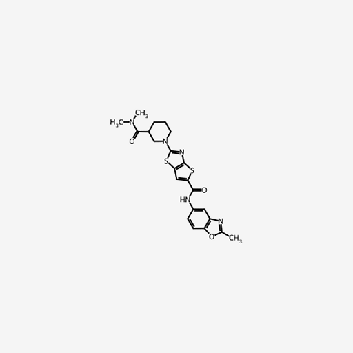 Cc1nc2cc(NC(=O)c3cc4sc(N5CCCC(C(=O)N(C)C)C5)nc4s3)ccc2o1